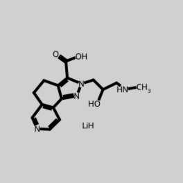 CNCC(O)Cn1nc2c(c1C(=O)O)CCc1cnccc1-2.[LiH]